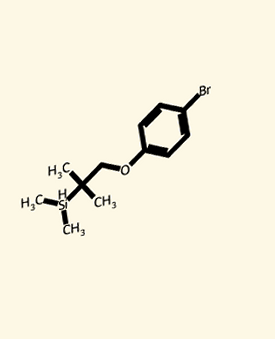 C[SiH](C)C(C)(C)COc1ccc(Br)cc1